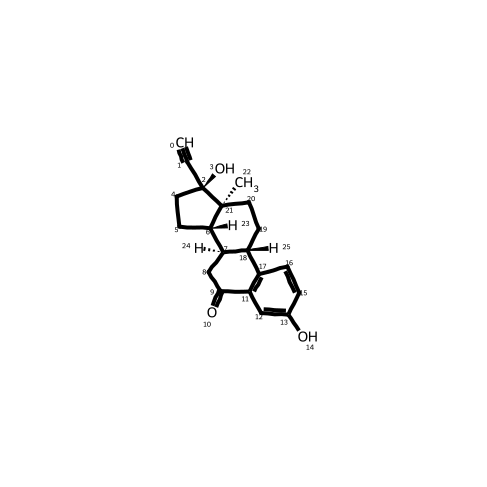 C#C[C@@]1(O)CC[C@H]2[C@@H]3CC(=O)c4cc(O)ccc4[C@H]3CC[C@@]21C